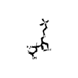 C[C@](N)(CC(=O)O)c1n[nH]cc1COCC[Si](C)(C)C